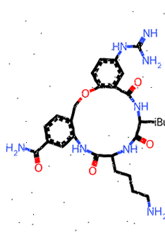 CCC(C)C1NC(=O)c2cc(NC(=N)N)ccc2OCc2ccc(C(N)=O)cc2NC(=O)C(CCCCN)NC1=O